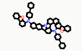 c1ccc(-c2ccc(N(c3ccc4cc5c6ccc(N(c7ccc(-c8ccccc8)cc7)c7cccc8c7oc7ccccc78)c7c8c9ccccc9ccc8n(c5cc4c3)c67)c3cccc4c3oc3ccccc34)cc2)cc1